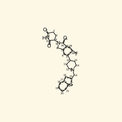 O=C1CCC(N2Cc3cc(C4CCN(Cc5cc6ccccc6s5)CC4)c(F)cc3C2=O)C(=O)N1